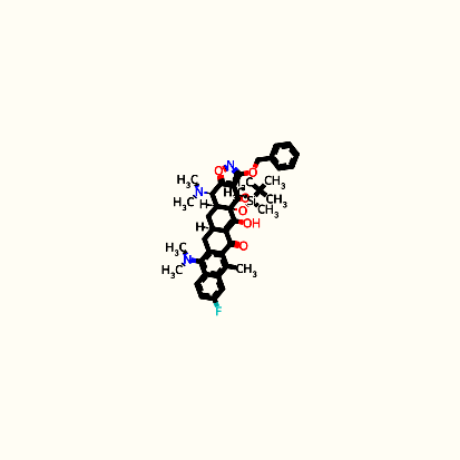 Cc1c2c(c(N(C)C)c3ccc(F)cc13)C[C@H]1C[C@H]3[C@H](N(C)C)c4onc(OCc5ccccc5)c4C(=O)[C@@]3(O[Si](C)(C)C(C)(C)C)C(O)=C1C2=O